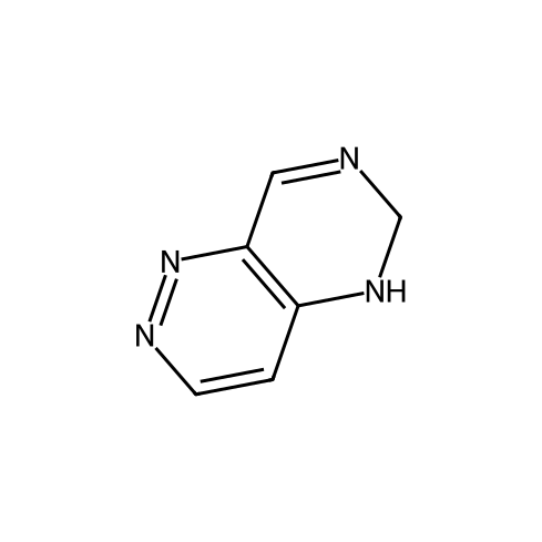 C1=NCNc2ccnnc21